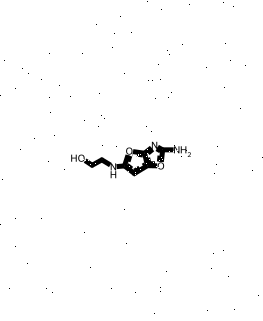 Nc1nc2oc(NCCO)cc2o1